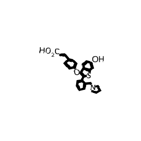 O=C(O)C=Cc1ccc(Oc2c(-c3ccccc3CN3CCCC3)sc3cc(O)ccc23)cc1